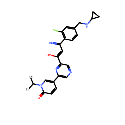 CCC(CC)n1cc(-c2cncc(/C(O)=C/C(=N)c3ccc(CNC4CC4)cc3F)n2)ccc1=O